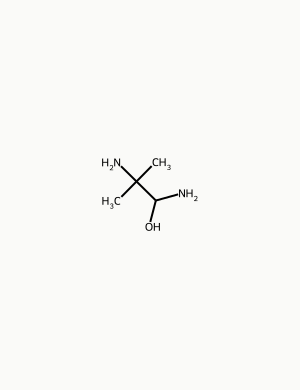 CC(C)(N)C(N)O